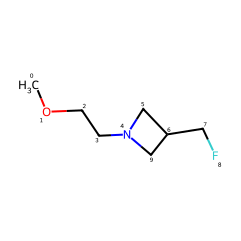 COCCN1CC(CF)C1